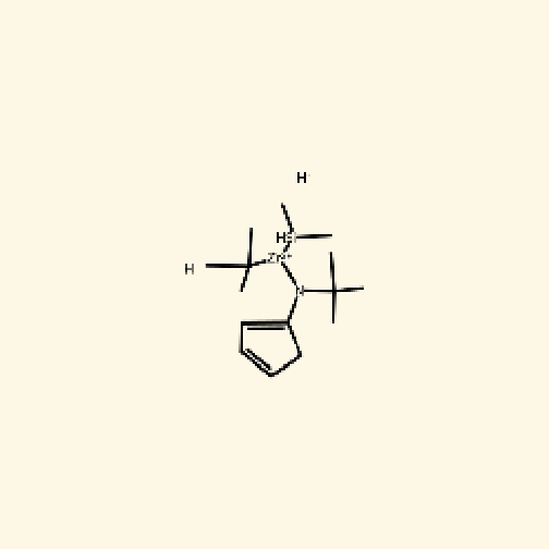 C[SiH](C)[Zr+2]([N](C1=CC=CC1)C(C)(C)C)[C](C)(C)C.[H-].[H-]